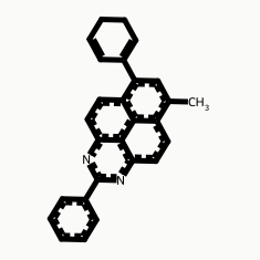 Cc1cc(C2=CCCC=C2)c2ccc3nc(-c4ccccc4)nc4ccc1c2c43